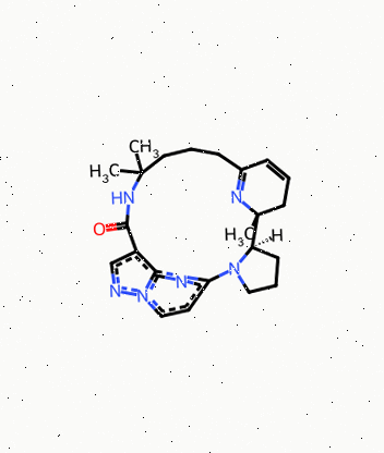 CC1(C)CCCC2=NC(C)(CC=C2)[C@H]2CCCN2c2ccn3ncc(c3n2)C(=O)N1